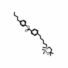 CCCCc1ccc(OC(=O)c2ccc(CCCCC[Si]3(C)CCC(C)(C)O[Si]3(C)C)cc2)cc1